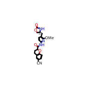 COc1nc(NC(=O)C2CCc3cc(C#N)ccc3O2)ccc1C[C@H]1COC(=O)N1